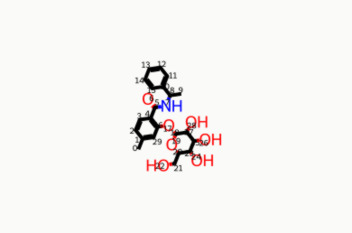 Cc1ccc(C(=O)NC(C)c2ccccc2)c(OC2OC(CO)C(O)C(O)C2O)c1